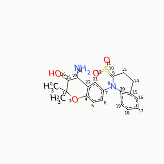 CC1(C)Oc2ccc(N3C(=S(=O)=O)CCc4ccccc43)cc2C(N)C1O